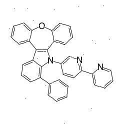 c1ccc(-c2cccc3c4c(n(-c5ccc(-c6ccccn6)nc5)c23)-c2ccccc2Oc2ccccc2-4)cc1